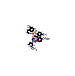 CCOc1ccc(OC)cc1C1(N2CCN(c3ccnc(C)c3)CC2)C(=O)N(S(=O)(=O)c2ccc(Cl)c3cccnc23)c2ccc(C#N)cc21